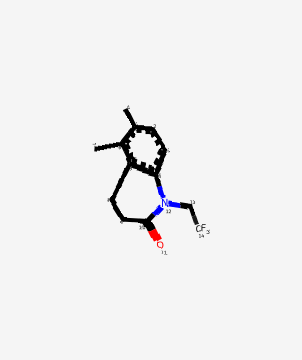 Cc1ccc2c(c1C)CCC(=O)N2CC(F)(F)F